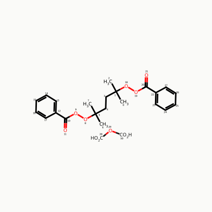 CC(C)(CCC(C)(C)OOC(=O)c1ccccc1)OOC(=O)c1ccccc1.O=C(O)OC(=O)O